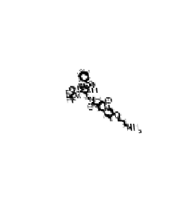 NCCCOc1ccc2cc(C(=O)NC[C@H](NS(=O)(=O)c3ccccc3)C(=O)OC(=O)C(F)(F)F)cc(=O)n2c1